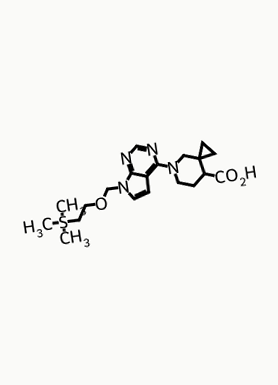 CS(C)(C)CCOCn1ccc2c(N3CCC(C(=O)O)C4(CC4)C3)ncnc21